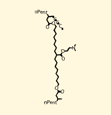 C=C=C=C=CC(CCCCC)CC(=O)OCCCCCCCCC(CCCCCCCCOC(=O)CC(C)CCCCC)C(=O)OCCN(C)C